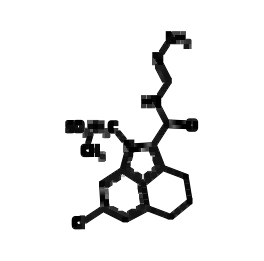 CS(=O)(=O)O.Cn1c(C(=O)NC=NN)c2c3c(cc(Cl)cc31)CCC2